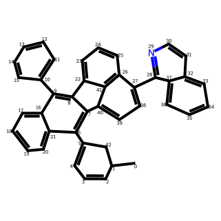 CC1C=CC=C(c2c3c(c(-c4ccccc4)c4ccccc24)-c2cccc4c(-c5nccc6ccccc56)ccc-3c24)C1